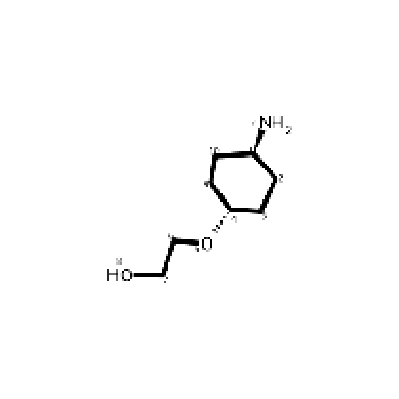 N[C@H]1CC[C@H](OCCO)CC1